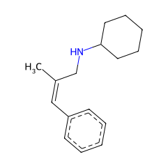 CC(=Cc1ccccc1)CNC1CCCCC1